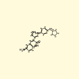 N=N/C(=C\Nc1ccc(OC2CCCC2)cc1)c1cc2cc(N)ccc2[nH]c1=O